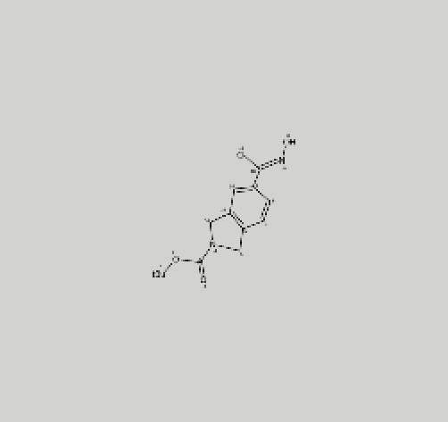 CC(C)(C)OC(=O)N1Cc2ccc(/C(Cl)=N/O)cc2C1